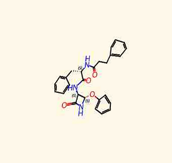 O=C(CCc1ccccc1)N[C@@H](Cc1ccccc1)C(=O)N[C@@H]1C(=O)N[C@H]1Oc1ccccc1